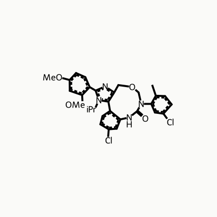 COc1ccc(-c2nc3c(n2C(C)C)-c2ccc(Cl)cc2NC(=O)N(c2cc(Cl)ccc2C)COC3)c(OC)c1